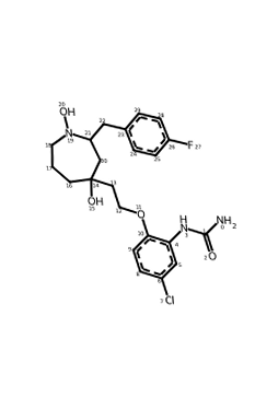 NC(=O)Nc1cc(Cl)ccc1OCCC1(O)CCCN(O)C(Cc2ccc(F)cc2)C1